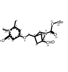 Cc1cc(OCC23CN(C(=O)OC(C)(C)C)C(C=O)(C2)C3)cc(=O)n1C